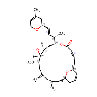 C=C1C[C@H](C)C[C@@H]2CC=C[C@@H](C/C=C\C(=O)O[C@H]([C@H](/C=C/[C@@H]3CC(C)=CCO3)OC(C)=O)C[C@@H]3O[C@H]3[C@@H](OC(C)=O)C1)O2